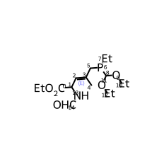 CCOC(=O)C(/C=C(\C)CP(CC)C(OCC)OCC)NC=O